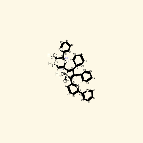 C=C/C(=N\C(=C/C)C1=C(c2ccccc2)C(c2ccccc2)=C(c2cccc(-c3ccccn3)n2)[Si]1(C)C)c1ccccn1